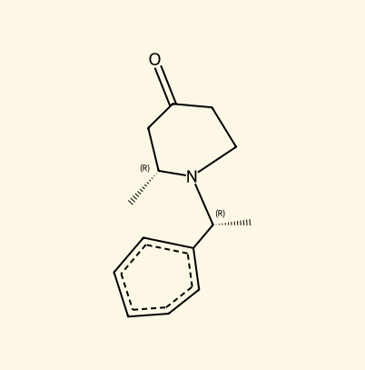 C[C@@H]1CC(=O)CCN1[C@H](C)c1ccccc1